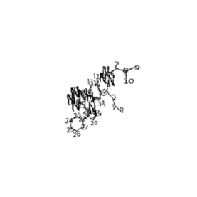 CCCCc1nc(CC(C)C)nn1Cc1ccc(-n2ccc(C3CCCCC3)c2-c2nnn[nH]2)cc1